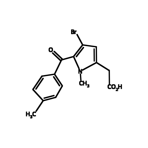 Cc1ccc(C(=O)c2c(Br)cc(CC(=O)O)n2C)cc1